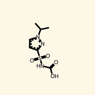 CC(C)n1ccc(S(=O)(=O)NC(=O)O)n1